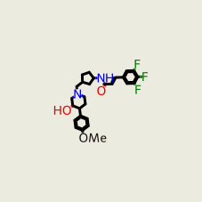 COc1ccc(C2CCN(CC3CCC(NC(=O)/C=C/c4cc(F)c(F)c(F)c4)C3)CC2O)cc1